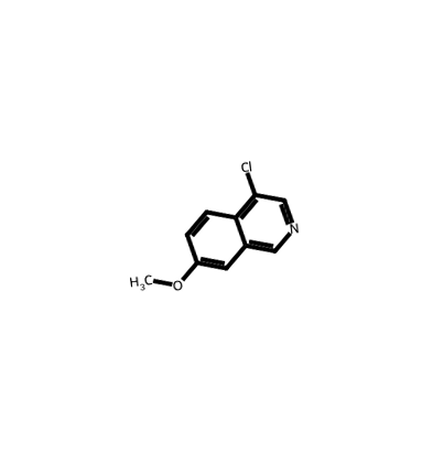 COc1ccc2c(Cl)cncc2c1